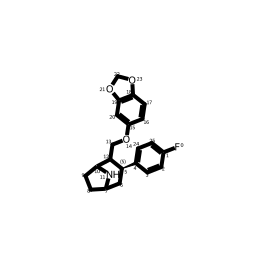 Fc1ccc([C@H]2CC3CCC(N3)C2COc2ccc3c(c2)OCO3)cc1